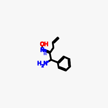 C=CC/C(=N\O)C(N)c1ccccc1